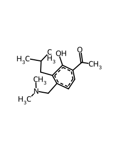 CC(=O)c1ccc(CN(C)C)c(CC(C)C)c1O